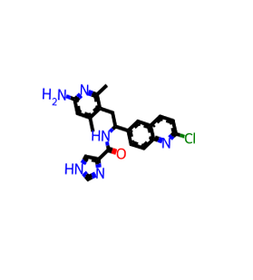 Cc1cc(N)nc(C)c1CC(NC(=O)c1c[nH]cn1)c1ccc2nc(Cl)ccc2c1